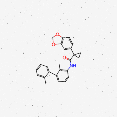 Cc1ccccc1-c1cccc(NC(=O)C2(c3ccc4c(c3)OCO4)CC2)c1C